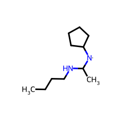 CCCCNC(C)[N]C1CCCC1